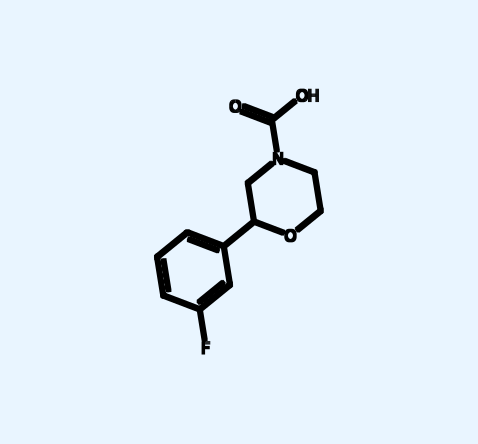 O=C(O)N1CCOC(c2cccc(F)c2)C1